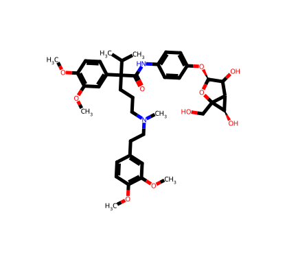 COc1ccc(CCN(C)CCCC(C(=O)Nc2ccc(O[C@@H]3OC4(CO)C(C3O)[C@H]4O)cc2)(c2ccc(OC)c(OC)c2)C(C)C)cc1OC